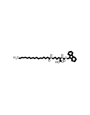 CCCCCCCCCCCCCCCCCC(=O)NCCCCC(NC(=O)OCC1c2ccccc2-c2ccccc21)C(=O)O